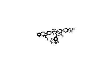 Cc1cc([C@@H](C)C(OC(=O)N2CCC(N3CCc4ccccc4NC3=O)CC2)C(=O)N2CCC(N3CCC(O)(CO)CC3)CC2)cc2nc[nH]c12